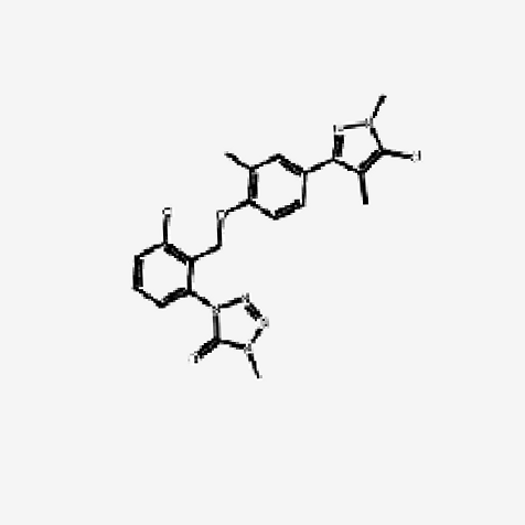 Cc1cc(-c2nn(C)c(Cl)c2C)ccc1OCc1c(Cl)cccc1-n1nnn(C)c1=O